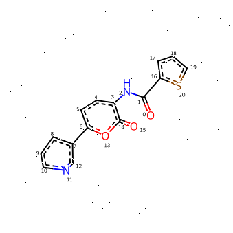 O=C(Nc1ccc(-c2cccnc2)oc1=O)c1cccs1